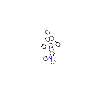 Cc1ccccc1-c1c2c(c(-c3ccccc3C)c3cc4cc(N(c5ccccc5)c5ccccc5)ccc4cc13)-c1ccc3c4c(ccc-2c14)-c1ccccc1-3